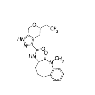 CN1C(=O)[C@@H](NC(=O)c2n[nH]c3c2CC(CC(F)(F)F)OC3)CCCc2ccccc21